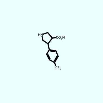 O=C(O)C1CNCC1c1ccc(C(F)(F)F)cc1